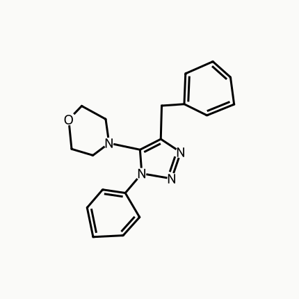 c1ccc(Cc2nnn(-c3ccccc3)c2N2CCOCC2)cc1